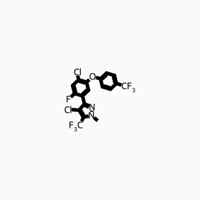 Cn1nc(-c2cc(Oc3ccc(C(F)(F)F)cc3)c(Cl)cc2F)c(Cl)c1C(F)(F)F